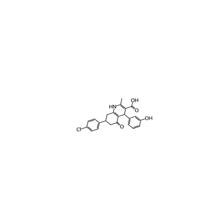 CC1=C(C(=O)O)C(c2cccc(O)c2)C2=C(CC(c3ccc(Cl)cc3)CC2=O)N1